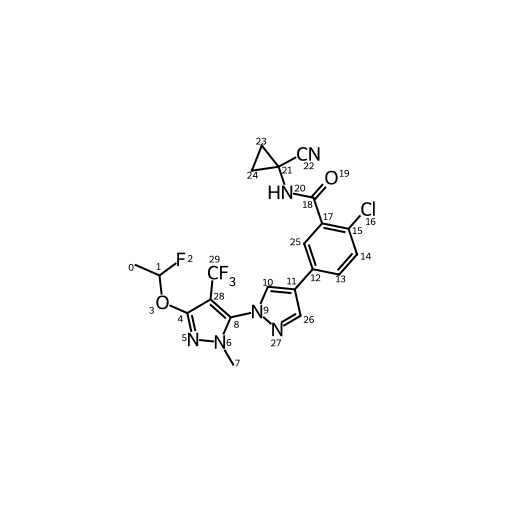 CC(F)Oc1nn(C)c(-n2cc(-c3ccc(Cl)c(C(=O)NC4(C#N)CC4)c3)cn2)c1C(F)(F)F